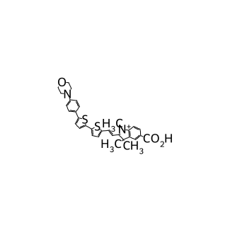 C[N+]1=C(/C=C/c2ccc(-c3ccc(-c4ccc(N5CCOCC5)cc4)s3)s2)C(C)(C)c2cc(C(=O)O)ccc21